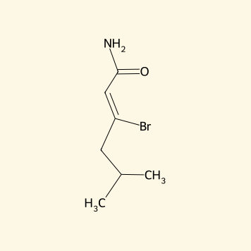 CC(C)CC(Br)=CC(N)=O